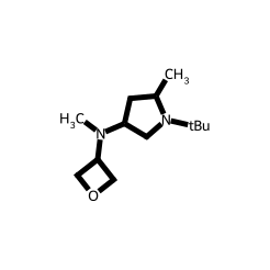 CC1CC(N(C)C2COC2)CN1C(C)(C)C